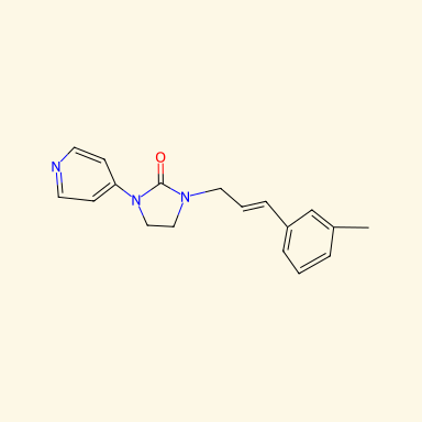 Cc1cccc(/C=C/CN2CCN(c3ccncc3)C2=O)c1